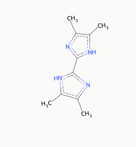 Cc1nc(-c2nc(C)c(C)[nH]2)[nH]c1C